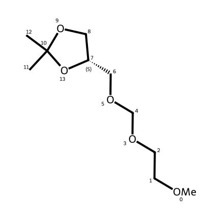 COCCOCOC[C@H]1COC(C)(C)O1